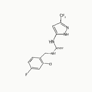 C=C(NCc1ccc(F)cc1Cl)Nc1cc(C(F)(F)F)n[nH]1